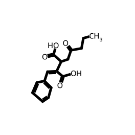 CCCC(=O)CC(C(=O)O)C(=Cc1ccccc1)C(=O)O